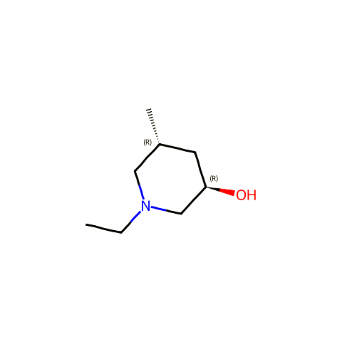 CCN1C[C@H](C)C[C@@H](O)C1